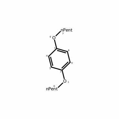 CCCCCOc1[c]cc(OCCCCC)cc1